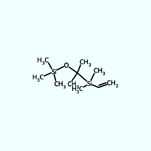 C=C[Si](C)(C)C(C)(C)O[Si](C)(C)C